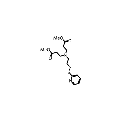 COC(=O)CCN(CCSSc1ccccn1)CCC(=O)OC